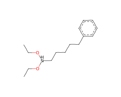 CCO[SiH](CCCCCc1ccccc1)OCC